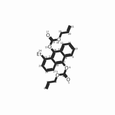 C=CCOC(=O)Oc1c2ccccc2c(OC(=O)OCC=C)c2c(CC)cccc12